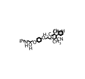 CC1=C(C(=O)O)C(c2ccccc2Cl)=C(C#N)C(C)N1CCCOc1ccc(OCC(O)CNC(C)C)cc1